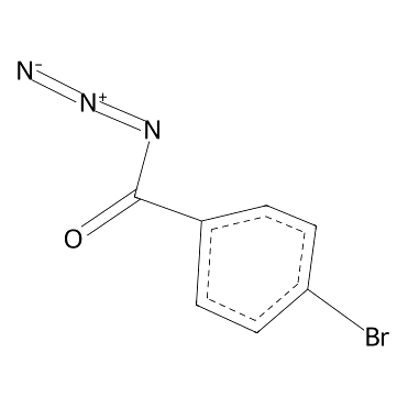 [N-]=[N+]=NC(=O)c1ccc(Br)cc1